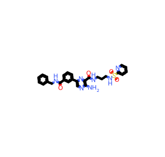 Nc1ncc(-c2cccc(C(=O)NCc3ccccc3)c2)nc1C(=O)NCCCNS(=O)(=O)c1ccccn1